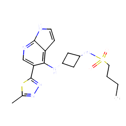 Cc1nnc(-c2cnc3[nH]ccc3c2N[C@H]2C[C@@H](NS(=O)(=O)CCCC#N)C2)s1